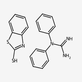 N=C(N)N(c1ccccc1)c1ccccc1.Sc1nc2ccccc2s1